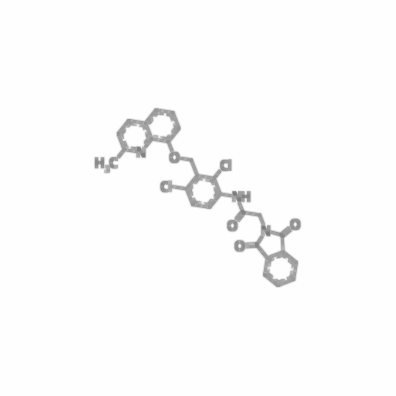 Cc1ccc2cccc(OCc3c(Cl)ccc(NC(=O)CN4C(=O)c5ccccc5C4=O)c3Cl)c2n1